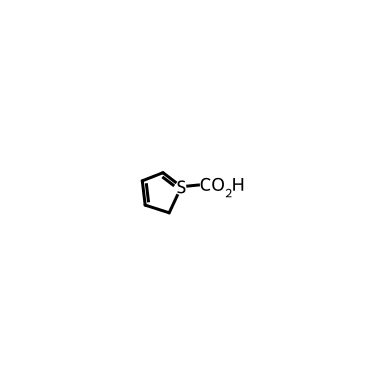 O=C(O)S1=CC=CC1